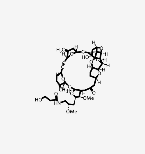 C=C1C[C@@H]2CC[C@@]3(O)C[C@H]4O[C@H]5[C@@H]6C(O[C@H]7CC[C@H](CC(=O)C[C@@H]8[C@@H](OC)[C@@H](C[C@@H](CNC(=O)CCO)OC)O[C@H]8C[C@H]8O[C@H](CCC8=C)CC[C@@H]1O2)O[C@@H]7[C@@H]6O3)[C@@H]54